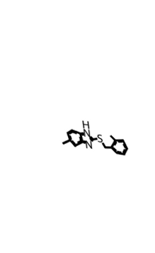 Cc1ccc2[nH]c(SCc3ccccc3C)nc2c1